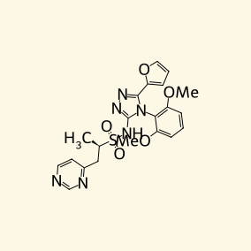 COc1cccc(OC)c1-n1c(NS(=O)(=O)[C@H](C)Cc2ccncn2)nnc1-c1ccco1